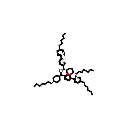 CCCCCCC[C@H]1CC[C@H](C(OC(c2ccc(-c3ccc(CCCCCC)cn3)cc2)[C@H]2CC[C@H](CCCCCCC)CC2)c2ccc(-c3ccc(CCCCCC)cn3)cc2)CC1